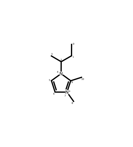 CCC(C)n1cc[n+](C)c1C